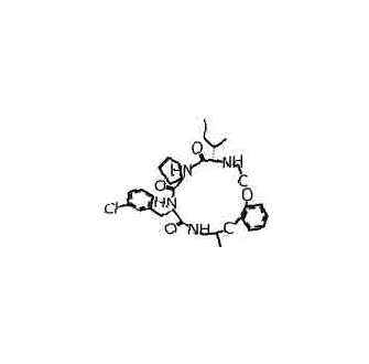 CC1CNC(=O)[C@@H](Cc2cccc(Cl)c2)NC(=O)C2(CCCC2)NC(=O)[C@H](C(C)CI)NCCOc2ccccc2C1